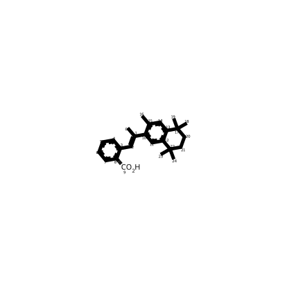 CC(=Cc1ccccc1C(=O)O)c1cc2c(cc1C)C(C)(C)CCC2(C)C